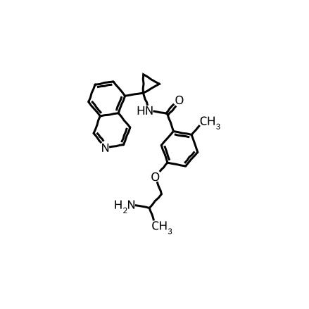 Cc1ccc(OCC(C)N)cc1C(=O)NC1(c2cccc3cnccc23)CC1